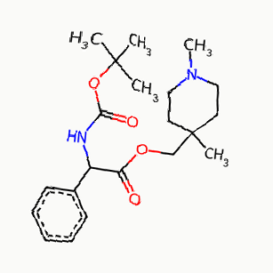 CN1CCC(C)(COC(=O)C(NC(=O)OC(C)(C)C)c2ccccc2)CC1